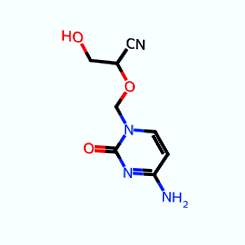 N#CC(CO)OCn1ccc(N)nc1=O